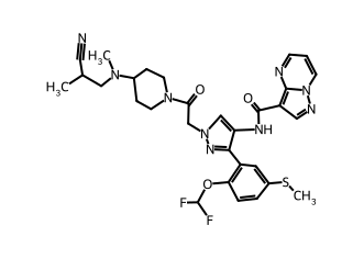 CSc1ccc(OC(F)F)c(-c2nn(CC(=O)N3CCC(N(C)CC(C)C#N)CC3)cc2NC(=O)c2cnn3cccnc23)c1